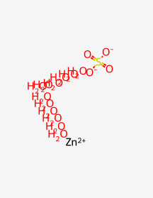 O.O.O.O.O.O.O.O.O.O.O.O.O=S(=O)([O-])[O-].[Zn+2]